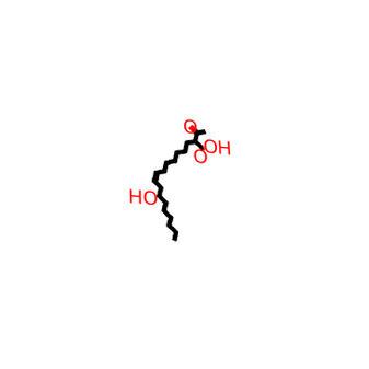 CCCCCC[C@@H](O)C/C=C\CCCCCCC(C(C)=O)C(=O)O